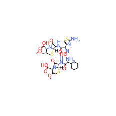 COC1=C(C(=O)O)N2C(=O)[C@@H](NC(=O)[C@H](N)C3=CCC=CC3)[C@H]2SC1.COCC1=C(C(=O)O)N2C(=O)[C@@H](NC(=O)/C(=N\O)c3csc(N)n3)[C@H]2SC1